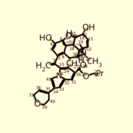 C=C(c1cc(O)c2c3c1C[C@@H]1[C@@H]4C=C[C@H](O)[C@H](O2)[C@]34CCN1C)c1c(C)c(C(=O)OC(C)C)cc2cc(C3=CCOCC3)cn12